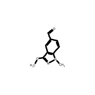 COc1nn(C)c2ccc(C=O)cc12